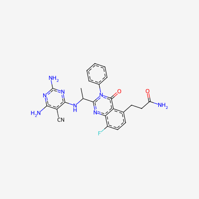 CC(Nc1nc(N)nc(N)c1C#N)c1nc2c(F)ccc(CCC(N)=O)c2c(=O)n1-c1ccccc1